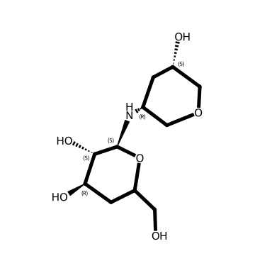 OCC1C[C@@H](O)[C@H](O)[C@@H](N[C@H]2COC[C@@H](O)C2)O1